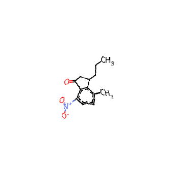 CCCC1CC(=O)c2c([N+](=O)[O-])ccc(C)c21